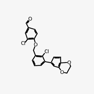 O=Cc1ccc(OCc2cccc(-c3ccc4c(c3)OCCO4)c2Cl)c(Cl)c1